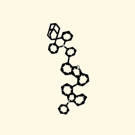 c1ccc(-n2c3ccccc3c3c(-c4cccc5oc6c(-c7cccc(N8c9ccccc9C9(c%10ccccc%108)C8CC%10CC(C8)CC9C%10)c7)cccc6c45)cccc32)cc1